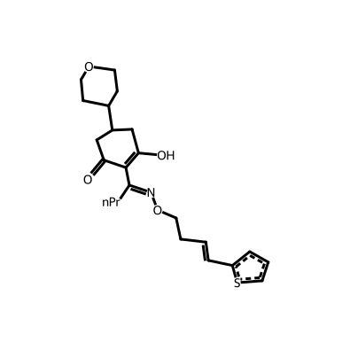 CCCC(=NOCCC=Cc1cccs1)C1=C(O)CC(C2CCOCC2)CC1=O